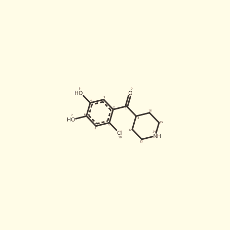 O=C(c1cc(O)c(O)cc1Cl)C1CCNCC1